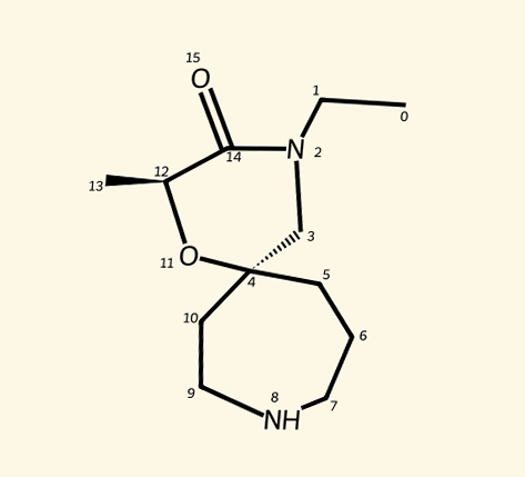 CCN1C[C@@]2(CCCNCC2)O[C@@H](C)C1=O